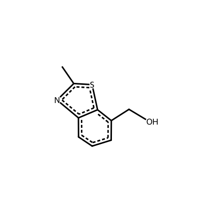 Cc1nc2cccc(CO)c2s1